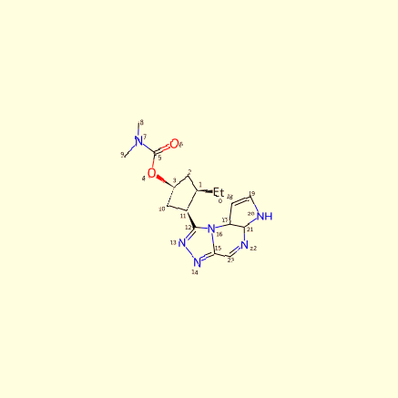 CC[C@@H]1C[C@H](OC(=O)N(C)C)C[C@@H]1c1nnc2n1C1C=CNC1N=C2